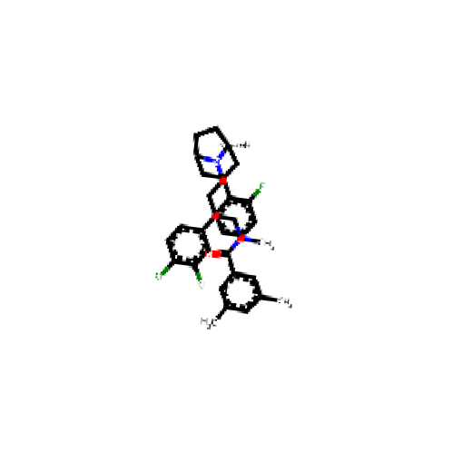 Cc1cc(C)cc(C(=O)N(C)CC(CCN2C3CC[C@H]2CC(c2ccccc2F)C3)c2ccc(Cl)c(Cl)c2)c1